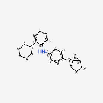 c1ccc(C2CCCCC2)c(Nc2ccc(C3CC4CCC3C4)cc2)c1